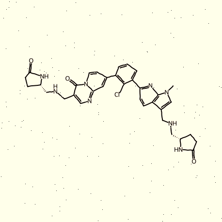 Cn1cc(CNC[C@@H]2CCC(=O)N2)c2ccc(-c3cccc(-c4ccn5c(=O)c(CNC[C@@H]6CCC(=O)N6)cnc5c4)c3Cl)nc21